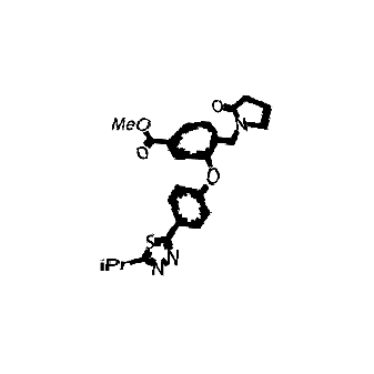 COC(=O)c1ccc(CN2CCCC2=O)c(Oc2ccc(-c3nnc(C(C)C)s3)cc2)c1